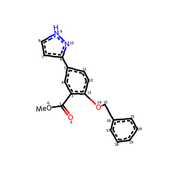 COC(=O)c1cc(-c2cc[nH]n2)ccc1OCc1ccccc1